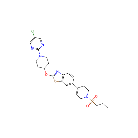 CCCS(=O)(=O)N1CC=C(c2ccc3nc(OC4CCN(c5ncc(Cl)cn5)CC4)sc3c2)CC1